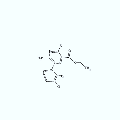 CCOC(=O)c1cc(-c2cccc(Cl)c2Cl)c(C)nc1Cl